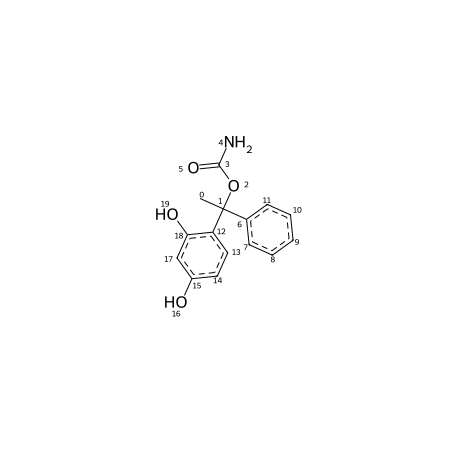 CC(OC(N)=O)(c1ccccc1)c1ccc(O)cc1O